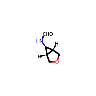 O=[C]N[C@H]1[C@@H]2COC[C@@H]21